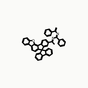 C=C(/N=C(\N=C(/C)c1ccc2c(c1)C1(c3ccccc3-c3ccccc31)c1ccc3c(oc4ccccc43)c1-2)c1ccccc1)c1ccccc1